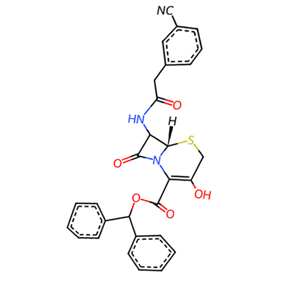 N#Cc1cccc(CC(=O)NC2C(=O)N3C(C(=O)OC(c4ccccc4)c4ccccc4)=C(O)CS[C@@H]23)c1